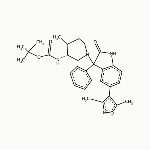 Cc1noc(C)c1-c1ccc2c(c1)C(c1ccccc1)(N1CCC(C)[C@@H](NC(=O)OC(C)(C)C)C1)C(=O)N2